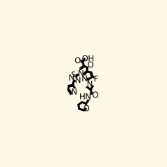 O=C(O)c1cn(-c2nc(-c3cccnc3)ns2)c2nc(N3CC(C(=O)NCC4CCCCO4)C3)c(F)cc2c1=O